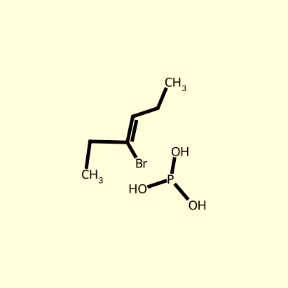 CCC=C(Br)CC.OP(O)O